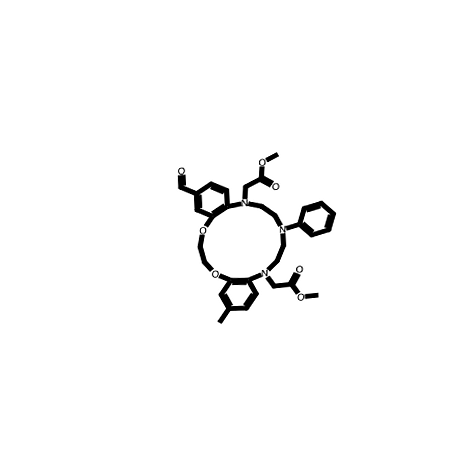 COC(=O)CN1CCN(c2ccccc2)CCN(CC(=O)OC)c2ccc(C=O)cc2OCCOc2cc(C)ccc21